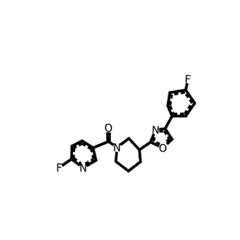 O=C(c1ccc(F)nc1)N1CCCC(c2nc(-c3ccc(F)cc3)co2)C1